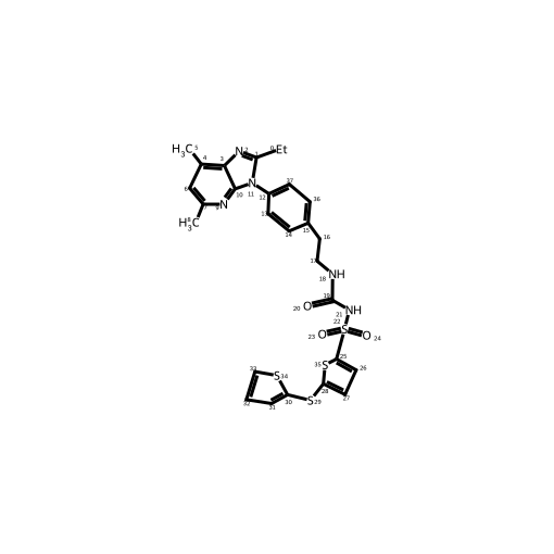 CCc1nc2c(C)cc(C)nc2n1-c1ccc(CCNC(=O)NS(=O)(=O)c2ccc(Sc3cccs3)s2)cc1